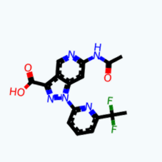 CC(=O)Nc1cc2c(cn1)c(C(=O)O)nn2-c1cccc(C(C)(F)F)n1